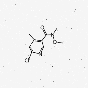 CON(C)C(=O)c1cnc(Cl)cc1C